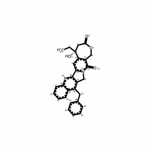 CC[C@@]1(O)CC(=O)OCc2c1cc1n(c2=O)Cc2c-1nc1ccccc1c2Cc1ccccc1